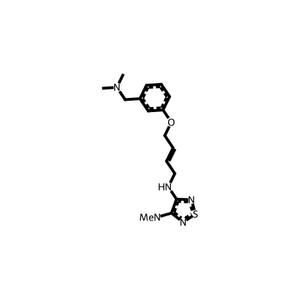 CNc1nsnc1NCC=CCOc1cccc(CN(C)C)c1